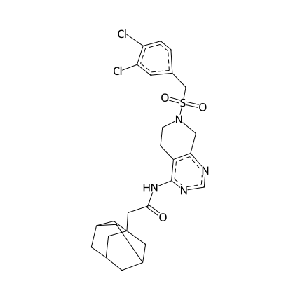 O=C(CC12CC3CC(CC(C3)C1)C2)Nc1ncnc2c1CCN(S(=O)(=O)Cc1ccc(Cl)c(Cl)c1)C2